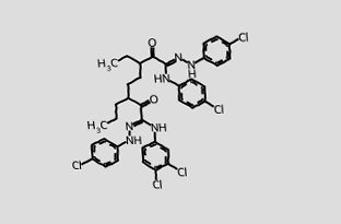 CCCC(CCC(CC)C(=O)C(=NNc1ccc(Cl)cc1)Nc1ccc(Cl)cc1)C(=O)C(=NNc1ccc(Cl)cc1)Nc1ccc(Cl)c(Cl)c1